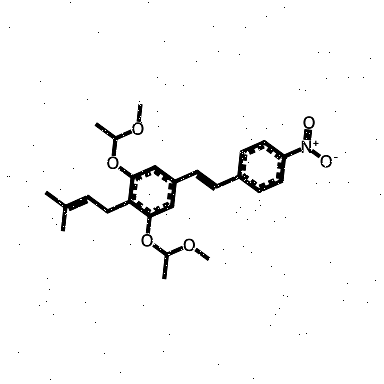 COC(C)Oc1cc(C=Cc2ccc([N+](=O)[O-])cc2)cc(OC(C)OC)c1CC=C(C)C